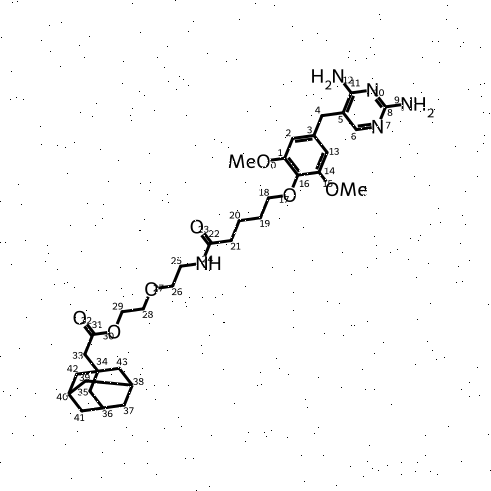 COc1cc(Cc2cnc(N)nc2N)cc(OC)c1OCCCCC(=O)NCCOCCOC(=O)CC12CC3CC(CC(C3)C1)C2